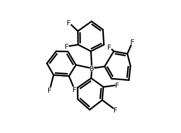 Fc1cccc([B-](c2cccc(F)c2F)(c2cccc(F)c2F)c2cccc(F)c2F)c1F